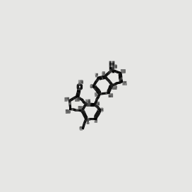 Cc1ccc(-c2ccc3[nH]ccc3c2)c2c1CCC2=O